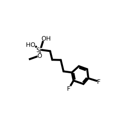 CO[Si](O)(O)CCCCc1ccc(F)cc1F